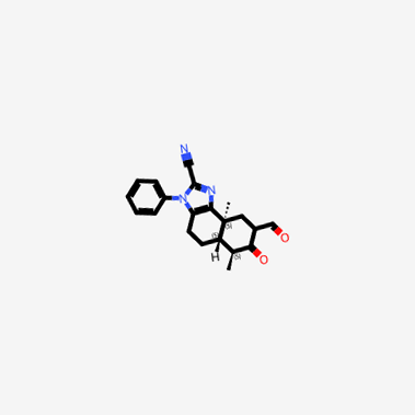 C[C@@H]1C(=O)C(C=O)C[C@]2(C)c3nc(C#N)n(-c4ccccc4)c3CC[C@@H]12